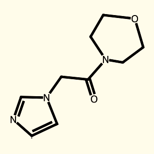 O=C(Cn1c[c]nc1)N1CCOCC1